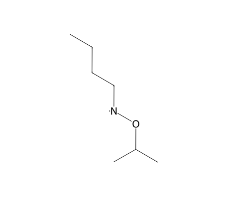 CCCC[N]OC(C)C